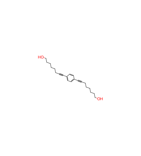 OCCCCCCC#Cc1ccc(C#CCCCCCCO)cc1